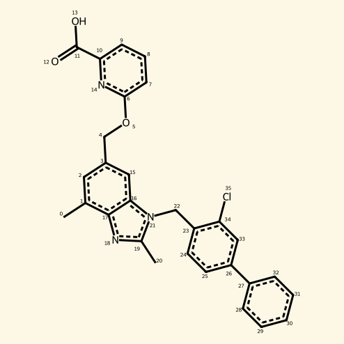 Cc1cc(COc2cccc(C(=O)O)n2)cc2c1nc(C)n2Cc1ccc(-c2ccccc2)cc1Cl